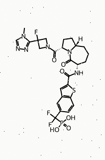 Cn1cnnc1C1(F)CN(C(=O)[C@@H]2CC[C@@H]3CCC[C@H](NC(=O)c4cc5cc(C(F)(F)P(=O)(O)O)ccc5s4)C(=O)N32)C1